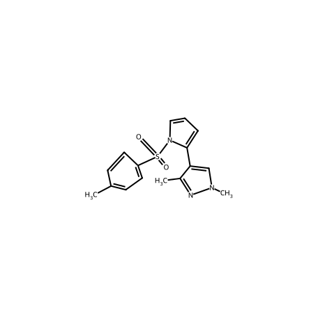 Cc1ccc(S(=O)(=O)n2cccc2-c2cn(C)nc2C)cc1